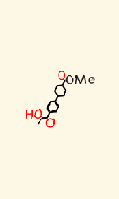 COC(=O)C1CCC(c2ccc(C(=O)C(C)O)cc2)CC1